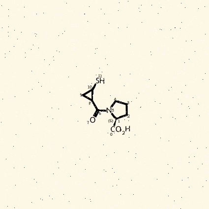 O=C(O)[C@@H]1CCCN1C(=O)C1CC1S